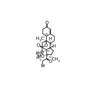 COC(=O)O[C@]12CC[C@@]3(C)[C@@H](C[C@H](C)[C@@]3(O)C(=O)CBr)[C@@H]1CCC1=CC(=O)CC[C@@]12C